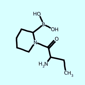 CCC(N)C(=O)N1CCCCC1B(O)O